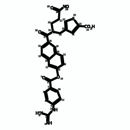 N=C(N)Nc1ccc(C(=O)Oc2ccc3cc(C(=O)N(CCC(=O)N=O)Cc4csc(C(=O)O)c4)ccc3c2)cc1